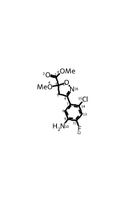 COC(=O)C1(OC)CC(c2cc(N)c(F)cc2Cl)=NO1